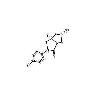 O=C1N(c2ccc(Br)cc2)C[C@H]2C[C@H](O)CN12